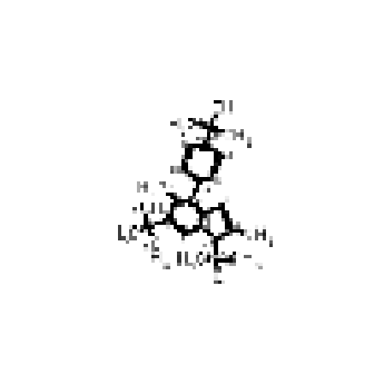 CC1=Cc2c(cc(C(C)(C)C)c(C)c2-c2ccc(C(C)(C)C)cc2)C1[Si](C)(C)Cl